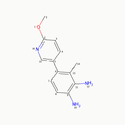 COc1ccc(-c2ccc(N)c(N)c2C)cn1